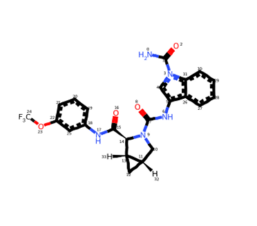 NC(=O)n1cc(NC(=O)N2C[C@@H]3C[C@@H]3[C@H]2C(=O)Nc2cccc(OC(F)(F)F)c2)c2ccccc21